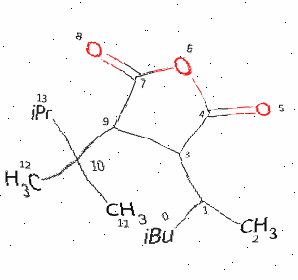 CCC(C)C(C)C1C(=O)OC(=O)C1C(C)(C)C(C)C